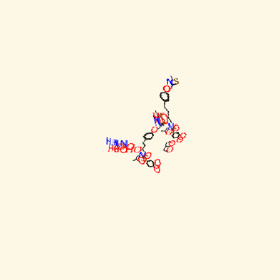 C1CC2CCOC2O1.Cc1nc(COc2ccc(CC[C@@H](O)CN(CC(C)C)S(=O)(=O)c3ccc4c(c3)OCO4)cc2)cs1.Cc1nc(COc2ccc(CC[C@@H](O)CN(CC(C)C)S(=O)(=O)c3ccc4c(c3)OCO4)cc2)cs1.NC(=O)O.NC(=O)O